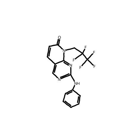 O=c1ccc2cnc(Nc3ccccc3)nc2n1CC(F)(F)C(F)(F)F